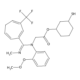 C/N=C(\C1=CC(C(F)(F)F)=CCC=C1)N(CC(=O)OC1CCCC(S)C1)c1ccccc1OOC